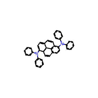 C1=Cc2c(N(c3ccccc3)c3ccccc3)ccc3c2C2C1=CC=C(N(c1ccccc1)c1ccccc1)C2C=C3